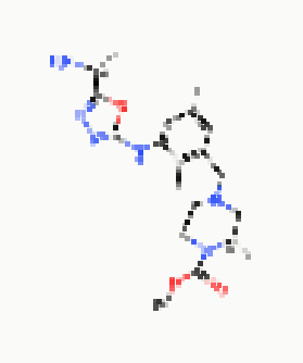 Cc1cc(CN2CCN(C(=O)OC(C)C)[C@@H](C)C2)c(C)c(Nc2nnc([C@@H](C)N)o2)c1